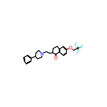 O=C1c2ccc(OCC(F)(F)F)cc2CCC1CCN1CCC(c2ccccc2)CC1